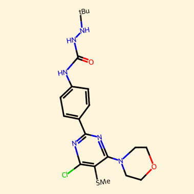 CSc1c(Cl)nc(-c2ccc(NC(=O)NNC(C)(C)C)cc2)nc1N1CCOCC1